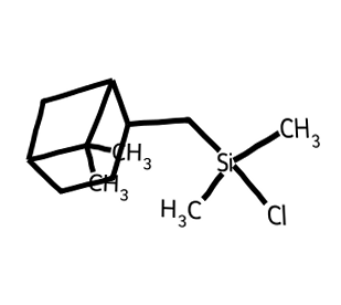 CC1(C)C2CCC(C[Si](C)(C)Cl)C1C2